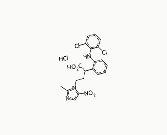 Cc1ncc([N+](=O)[O-])n1CCC(C(=O)O)c1ccccc1Nc1c(Cl)cccc1Cl.Cl